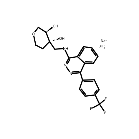 O[C@@H]1COCC[C@]1(O)CNc1nnc(-c2ccc(C(F)(F)F)cc2)c2ccccc12.[BH4-].[Na+]